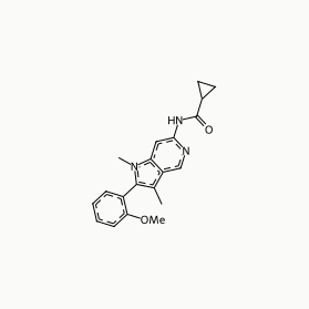 COc1ccccc1-c1c(C)c2cnc(NC(=O)C3CC3)cc2n1C